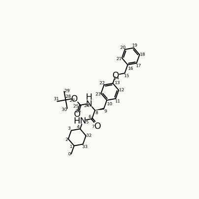 CC1CCC(NC(=O)[C@H](Cc2ccc(OCc3ccccc3)cc2)NC(=O)OC(C)(C)C)CC1